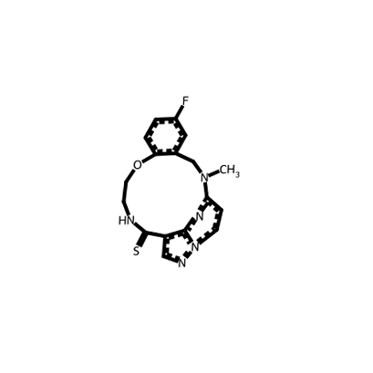 CN1Cc2cc(F)ccc2OCCNC(=S)c2cnn3ccc1nc23